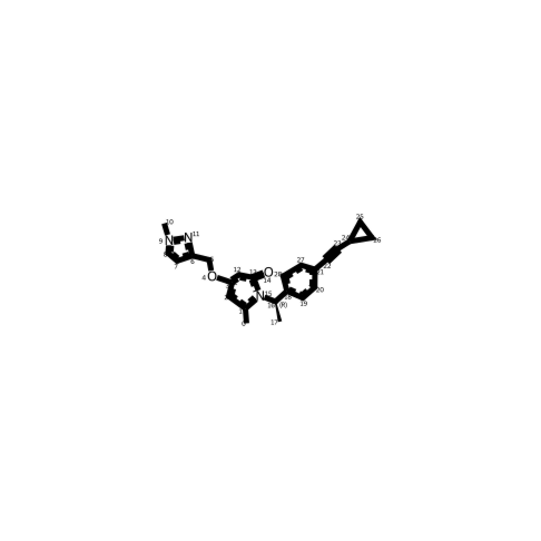 Cc1cc(OCc2ccn(C)n2)cc(=O)n1[C@H](C)c1ccc(C#CC2CC2)cc1